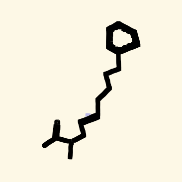 CC(=O)N(C)C/C=C/CCCCc1ccccc1